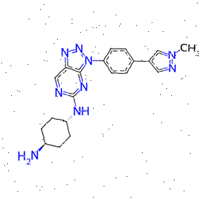 Cn1cc(-c2ccc(-n3nnc4cnc(N[C@H]5CC[C@H](N)CC5)nc43)cc2)cn1